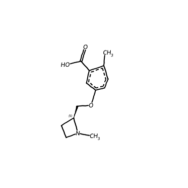 Cc1ccc(OC[C@@H]2CCN2C)cc1C(=O)O